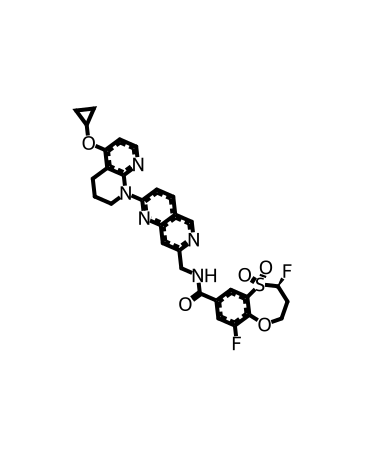 O=C(NCc1cc2nc(N3CCCc4c(OC5CC5)ccnc43)ccc2cn1)c1cc(F)c2c(c1)S(=O)(=O)[C@@H](F)CCO2